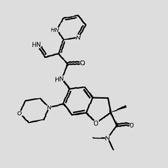 CN(C)C(=O)[C@@]1(C)Cc2cc(NC(=O)/C(C=N)=C3\N=CC=CN3)c(N3CCOCC3)cc2O1